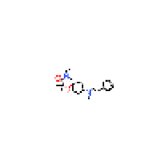 CCN1C[C@]2(CC[C@H](N(C)CCc3ccccc3)CC2)OC(C)(C)C1=O